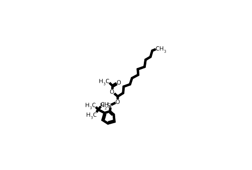 CCCCCCCCCCCC(O[SiH2]c1ccccc1C(C)(C)C)OC(C)=O